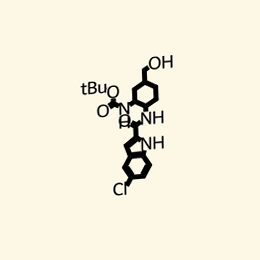 CC(C)(C)OC(=O)NC1CC(CO)CCC1NC(=O)c1cc2cc(Cl)ccc2[nH]1